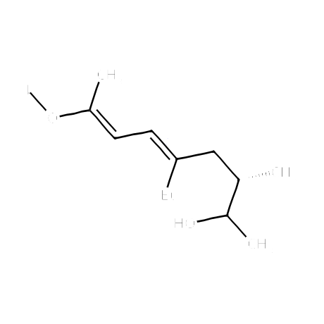 CC/C(=C\C=C(/C)OI)C[C@H](C)C(C)O